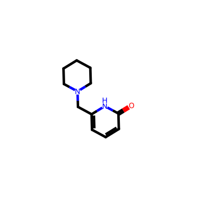 O=c1cccc(CN2CCCCC2)[nH]1